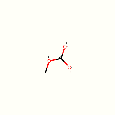 COC([O])[O]